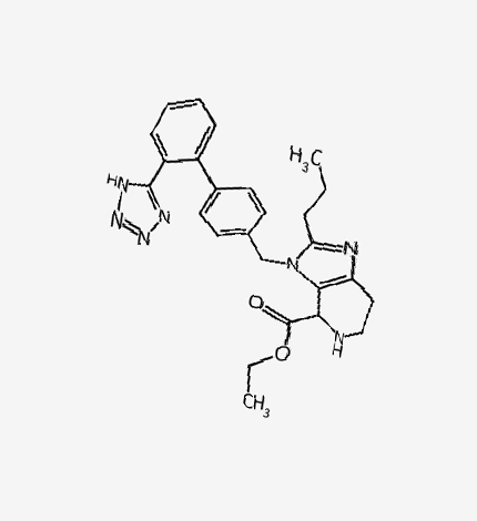 CCCc1nc2c(n1Cc1ccc(-c3ccccc3-c3nnn[nH]3)cc1)C(C(=O)OCC)NCC2